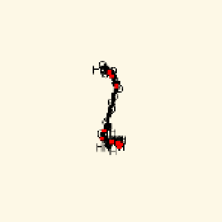 C[C@@H](NC(=O)c1cccc(NC2(C(=N)NC(=N)c3ccncc3)CCNCC2)c1)c1cccc(OCCCCCCOCCOCCOCCCC(=O)N2CCN(c3ccc4c(c3)CN(C3CCC(=O)NC3=O)C4=O)CC2)c1